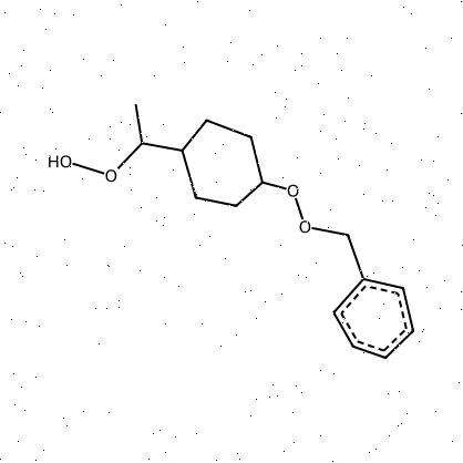 CC(OO)C1CCC(OOCc2ccccc2)CC1